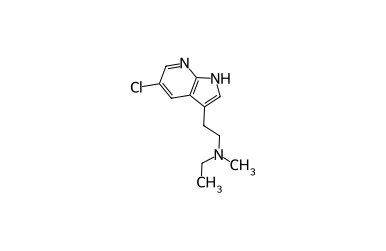 CCN(C)CCc1c[nH]c2ncc(Cl)cc12